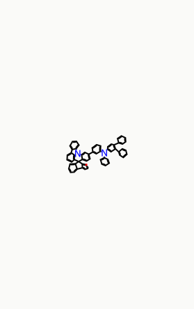 c1ccc(-c2ccc(N(c3ccccc3)c3cccc(-c4ccc5c(c4)-n4c6ccccc6c6cccc(c64)C54c5ccccc5-c5ccccc54)c3)cc2-c2ccccc2)cc1